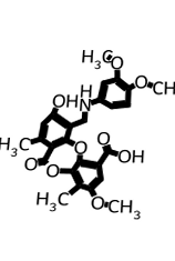 COc1ccc(NCc2c(O)cc(C)c3c2Oc2c(C(=O)O)cc(OC)c(C)c2OC3=O)cc1OC